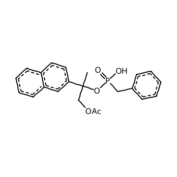 CC(=O)OCC(C)(OP(=O)(O)Cc1ccccc1)c1ccc2ccccc2c1